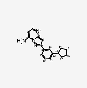 Nc1ccnc2cc(-c3cccc(C4CCCC4)c3)nn12